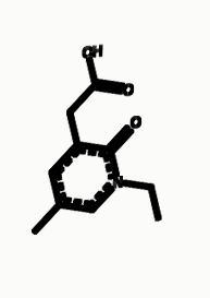 CCn1cc(C)cc(CC(=O)O)c1=O